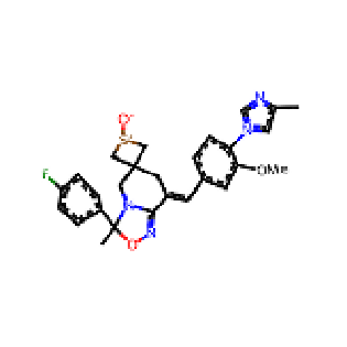 COc1cc(/C=C2\CC3(CN4C2=NOC4(C)c2ccc(F)cc2)C[S+]([O-])C3)ccc1-n1cnc(C)c1